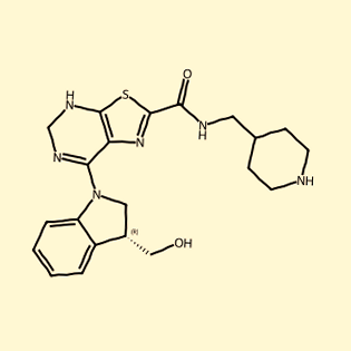 O=C(NCC1CCNCC1)c1nc2c(s1)NCN=C2N1C[C@H](CO)c2ccccc21